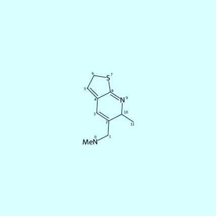 CNCC1=CC2=CCSC2=NC1C